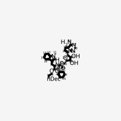 CCCCCCCCCCCCOC(=O)C(Cc1cn(C)c2ccccc12)NP(=O)(OC[C@H]1O[C@@H](c2ccc3c(N)ncnn23)[C@H](O)[C@@H]1O)Oc1ccccc1